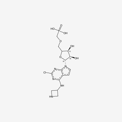 O=P(O)(O)COCC1O[C@@H](n2ccc3c(NC4CNC4)nc(Cl)nc32)[C@H](O)[C@@H]1O